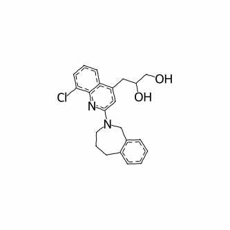 OCC(O)Cc1cc(N2CCCc3ccccc3C2)nc2c(Cl)cccc12